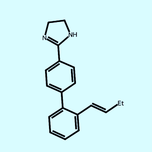 CCC=Cc1ccccc1-c1ccc(C2=NCCN2)cc1